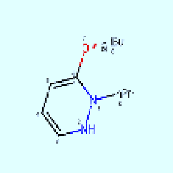 CC[CH]N1NC=CC=C1O[C@@H](C)CC